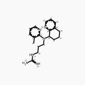 Cc1cccnc1N(CCCNC(=N)N)C1CCCc2cccnc21